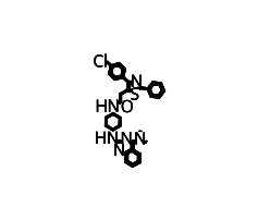 CN(C)c1nc(N[C@H]2CC[C@@H](NC(=O)Cc3sc(-c4ccccc4)nc3-c3ccc(Cl)cc3)CC2)nc2ccccc12